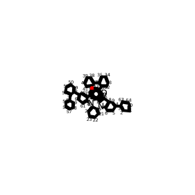 c1ccc(-c2ccc3c(c2)C2Oc4ccccc4C2N3c2ccccc2-n2c3ccc(-c4ccccc4-c4ccccc4)cc3c3cc(-c4ccccc4-c4ccccc4)ccc32)cc1